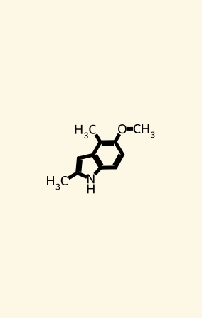 COc1ccc2[nH]c(C)cc2c1C